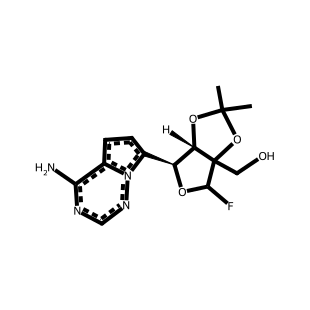 CC1(C)O[C@H]2[C@H](c3ccc4c(N)ncnn34)OC(F)C2(CO)O1